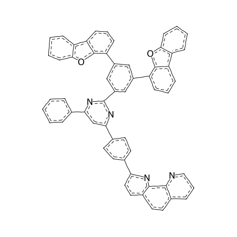 c1ccc(-c2cc(-c3ccc(-c4ccc5ccc6cccnc6c5n4)cc3)nc(-c3cc(-c4cccc5c4oc4ccccc45)cc(-c4cccc5c4oc4ccccc45)c3)n2)cc1